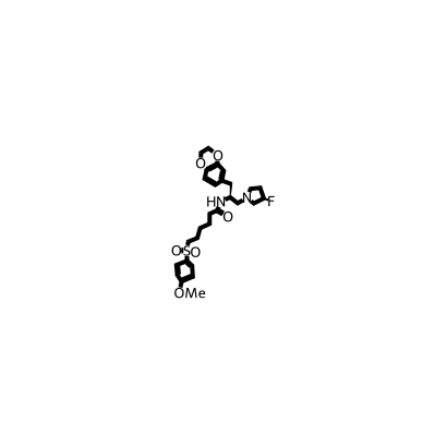 COc1ccc(S(=O)(=O)CCCCCC(=O)N[C@@H](Cc2ccc3c(c2)OCCO3)CN2CC[C@@H](F)C2)cc1